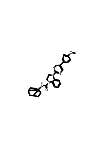 COc1ccc(-c2cnc(N3CCN(C(=O)NC4C5CC6CC(C5)CC4C6)c4ccccc43)nc2)cc1